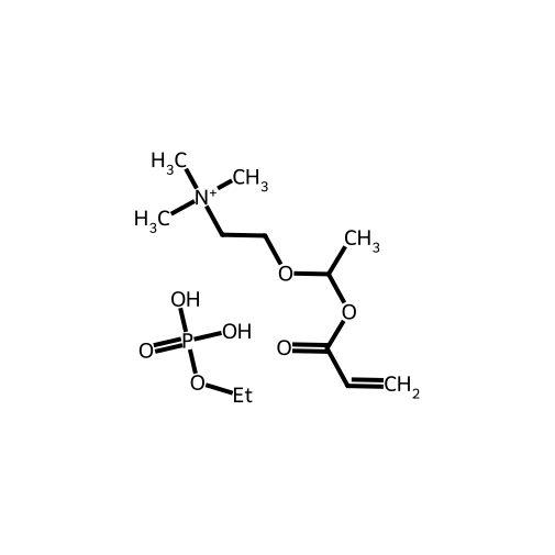 C=CC(=O)OC(C)OCC[N+](C)(C)C.CCOP(=O)(O)O